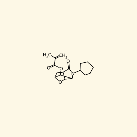 C=C(C)C(=O)OC1C2CC3C(=O)N(C4CCCCC4)C1C3O2